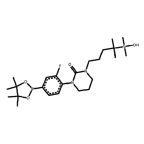 CC1(C)OB(c2ccc(N3CCCN(CCCC(C)(C)[Si](C)(C)O)C3=O)c(F)c2)OC1(C)C